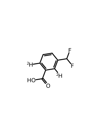 [2H]c1ccc(C(F)F)c([2H])c1C(=O)O